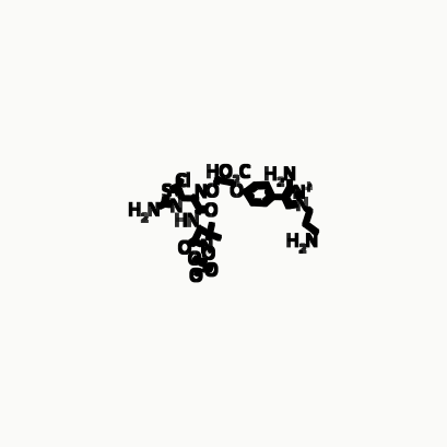 C[n+]1c(N)c(-c2ccc(OCC(O/N=C(\C(=O)N[C@@H]3C(=O)N(OS(=O)(=O)[O-])C3(C)C)c3nc(N)sc3Cl)C(=O)O)cc2)cn1CCCN